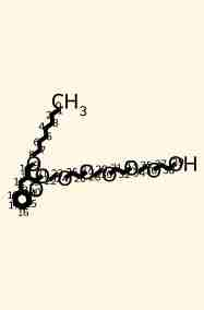 CCCCCCCCCOC=C(Cc1ccccc1)C(=O)OCCOCCOCCOCCOCCOCCO